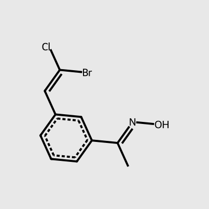 CC(=NO)c1cccc(C=C(Cl)Br)c1